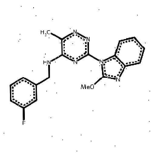 COc1nc2ccccc2n1-c1nnc(C)c(NCc2cccc(F)c2)n1